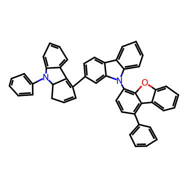 C1=CC(c2ccc3c4ccccc4n(-c4ccc(-c5ccccc5)c5c4oc4ccccc45)c3c2)=C2c3ccccc3N(c3ccccc3)C2C1